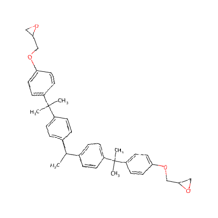 CC(c1ccc(C(C)(C)c2ccc(OCC3CO3)cc2)cc1)c1ccc(C(C)(C)c2ccc(OCC3CO3)cc2)cc1